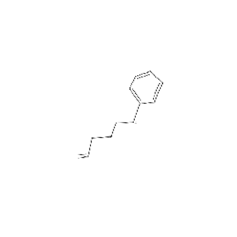 C=CCCC[C]c1ccccc1